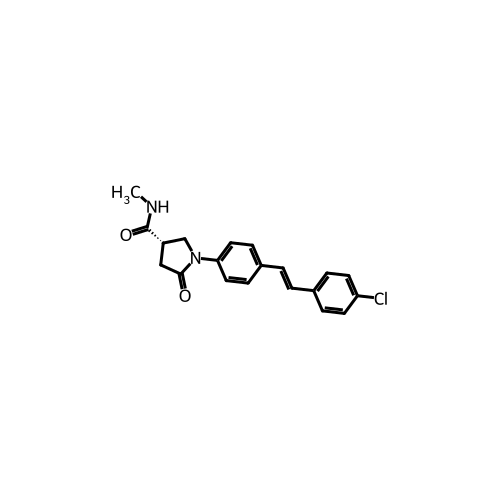 CNC(=O)[C@H]1CC(=O)N(c2ccc(/C=C/c3ccc(Cl)cc3)cc2)C1